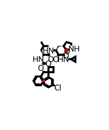 CC(C)C[C@H](NC(=O)OC(c1ccccc1)C1(c2cccc(Cl)c2)CCC1)C(=O)N[C@@H](C[C@@H]1CCNC1=O)C(=O)C(=O)NC1CC1